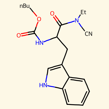 CCCCOC(=O)NC(Cc1c[nH]c2ccccc12)C(=O)N(C#N)CC